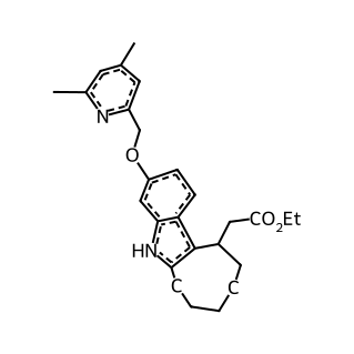 CCOC(=O)CC1CCCCCc2[nH]c3cc(OCc4cc(C)cc(C)n4)ccc3c21